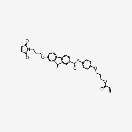 C=CC(=O)OCCCOc1ccc(SC(=O)c2ccc3c(c2)C(C)c2cc(OCCCN4C(=O)C=CC4=O)ccc2-3)cc1